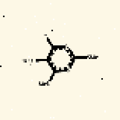 CCc1nc(SC)nc(NC)c1C(=O)O